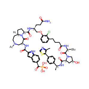 CC(=O)N1CC[C@H]2CC[C@@H](C(=O)N[C@@H](CCC(N)=O)COc3cccc(CCCC(=O)N[C@H](C(=O)N4C[C@@H](O)C[C@H]4C(=O)N[C@@H](C)c4ccc(-c5scnc5C)cc4)C(C)(C)C)c3Cl)N2C(=O)[C@@H](NC(=O)c2cc3cc(C(=O)P(=O)(O)O)ccc3[nH]2)C1